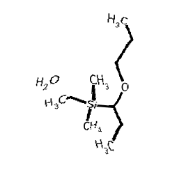 CCCOC(CC)[Si](C)(C)C.O